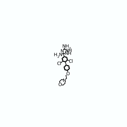 NC1=NC(N)(c2cc(Cl)c(-c3ccc(OCCN4CCOCC4)cc3)c(Cl)c2)NN1